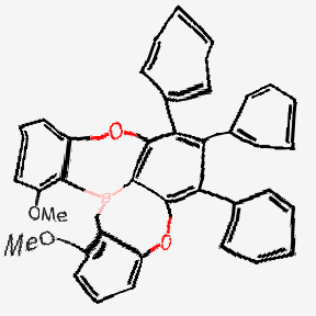 COc1cccc2c1B1c3c(OC)cccc3Oc3c1c(c(-c1ccccc1)c(-c1ccccc1)c3-c1ccccc1)O2